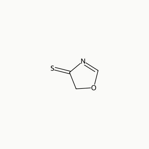 S=C1COC=N1